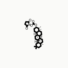 C[C@H]1[C@@H](OC(=O)ON2C(=O)CCC2=O)CC[C@@H]2[C@]1(C)CC[C@H]1[C@@]2(C)CC[C@@]2(C)[C@@H]3CC(C)(C)CC[C@]3(C)CC[C@]12C